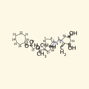 C=C1/C(=C\C=C2/CCC[C@]3(C)C(C(C)OCC(=O)OC4CCCCCCC4)=CC[C@@H]23)C[C@@H](O)C[C@@H]1O